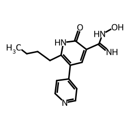 CCCCc1[nH]c(=O)c(C(=N)NO)cc1-c1ccncc1